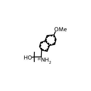 COc1ccc2cc([C@@H](N)C(C)(C)O)ccc2c1